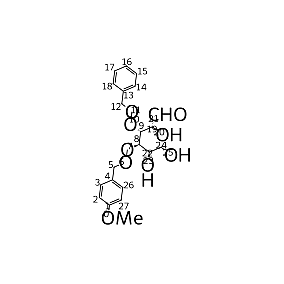 COc1ccc(COO[C@@H]([C@H](OOCc2ccccc2)[C@@H](O)C=O)[C@H](O)CO)cc1